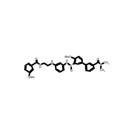 COc1cccc(C(=O)NCCNc2cccc(N[S+]([O-])c3cc(-c4cccc(C(=O)N(C)C)c4)ccc3OC)c2)c1